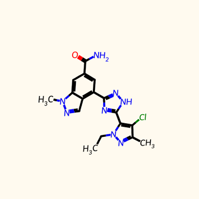 CCn1nc(C)c(Cl)c1-c1nc(-c2cc(C(N)=O)cc3c2cnn3C)n[nH]1